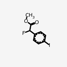 COC(=O)C(F)c1ccc(I)cc1